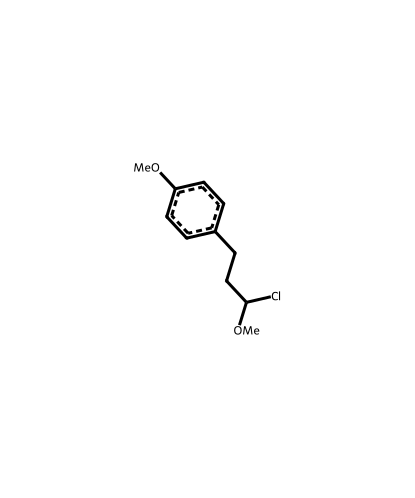 COc1ccc(CCC(Cl)OC)cc1